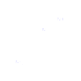 NCCCCCCN1CCC[C@H](N)C1